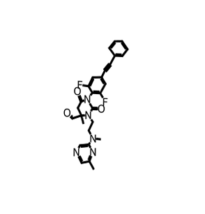 Cc1cncc(N(C)CCN2C(=O)N(c3c(F)cc(C#Cc4ccccc4)cc3F)C(=O)CC2(C)C=O)n1